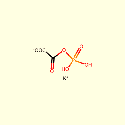 O=C([O-])C(=O)OP(=O)(O)O.[K+]